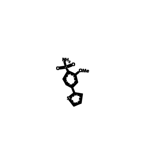 COc1cc(-c2cccs2)ccc1S(N)(=O)=O